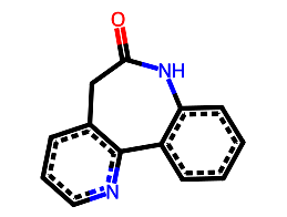 O=C1Cc2cccnc2-c2ccccc2N1